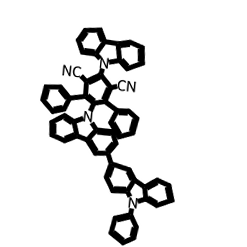 N#Cc1c(-c2ccccc2)c(-n2c3ccccc3c3cc(-c4ccc5c(c4)c4ccccc4n5-c4ccccc4)ccc32)c(-c2ccccc2)c(C#N)c1-n1c2ccccc2c2ccccc21